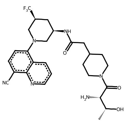 C[C@@H](O)[C@H](N)C(=O)N1CCC(CC(=O)N[C@@H]2C[C@H](C(F)(F)F)CN(c3ccc(C#N)c4ncccc34)C2)CC1